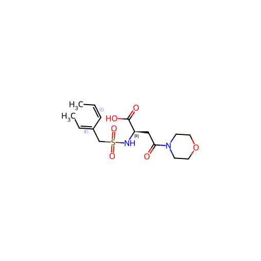 C/C=C\C(=C/C)CS(=O)(=O)N[C@H](CC(=O)N1CCOCC1)C(=O)O